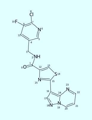 O=C(NCc1cnc(Cl)c(F)c1)c1csc(-c2cnn3cccnc23)n1